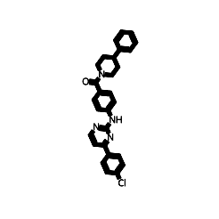 O=C(c1ccc(Nc2nccc(-c3ccc(Cl)cc3)n2)cc1)N1CCC(c2ccccc2)CC1